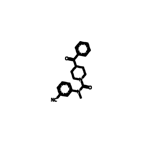 CN(C(=O)N1CCC(C(=O)c2ccccc2)CC1)c1cccc(C#N)c1